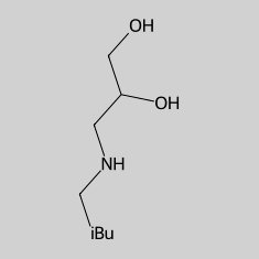 CCC(C)CNCC(O)CO